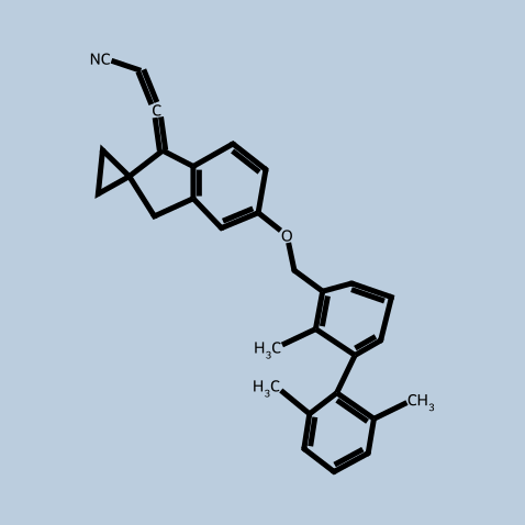 Cc1cccc(C)c1-c1cccc(COc2ccc3c(c2)CC2(CC2)C3=C=CC#N)c1C